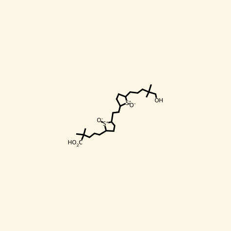 CC(C)(CO)CCCC1CCC(CCC2CCC(CCCC(C)(C)C(=O)O)[S+]2[O-])[S+]1[O-]